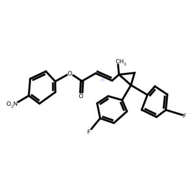 CC1(/C=C/C(=O)Oc2ccc([N+](=O)[O-])cc2)CC1(c1ccc(F)cc1)c1ccc(F)cc1